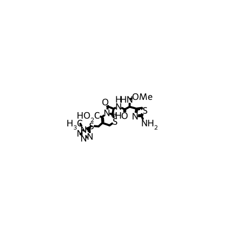 CONC(C(=O)NC1C(=O)N2C(C(=O)O)=C(CSc3nnnn3C)CS[C@H]12)c1csc(N)n1